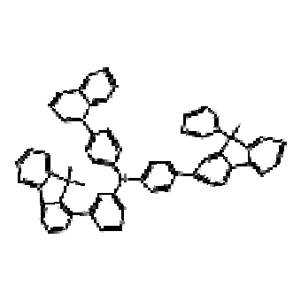 CC1(C)c2ccccc2-c2cccc(-c3cccc(N(c4ccc(-c5ccc6c(c5)C(C)(c5ccccc5)c5ccccc5-6)cc4)c4ccc(-c5cccc6ccccc56)cc4)c3)c21